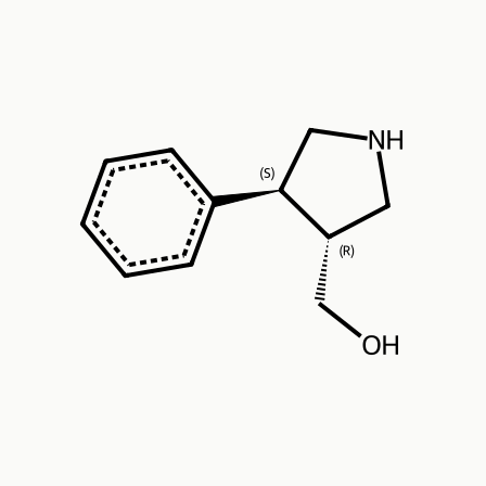 OC[C@H]1CNC[C@@H]1c1ccccc1